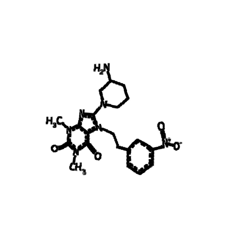 Cn1c(=O)c2c(nc(N3CCCC(N)C3)n2CCc2cccc([N+](=O)[O-])c2)n(C)c1=O